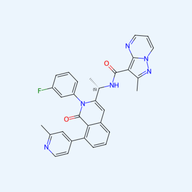 Cc1cc(-c2cccc3cc([C@H](C)NC(=O)c4c(C)nn5cccnc45)n(-c4cccc(F)c4)c(=O)c23)ccn1